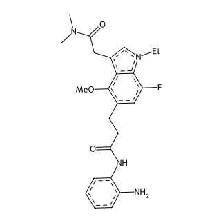 CCn1cc(CC(=O)N(C)C)c2c(OC)c(CCC(=O)Nc3ccccc3N)cc(F)c21